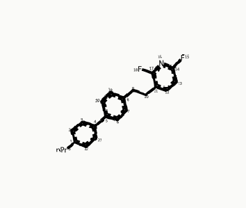 CCCc1ccc(-c2ccc(CCc3ccc(F)nc3F)cc2)cc1